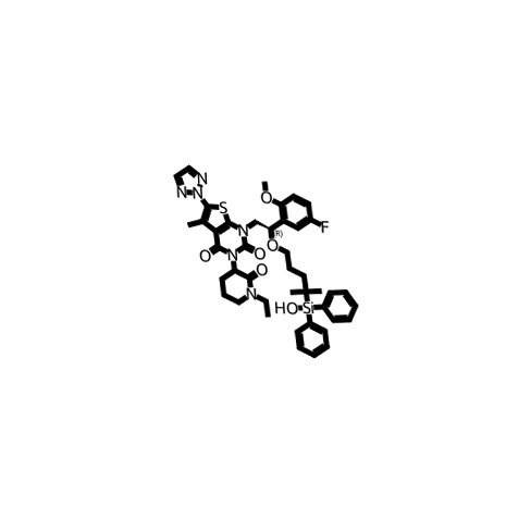 CCN1CCCC(n2c(=O)c3c(C)c(-n4nccn4)sc3n(C[C@H](OCCCC(C)(C)[Si](O)(c3ccccc3)c3ccccc3)c3cc(F)ccc3OC)c2=O)C1=O